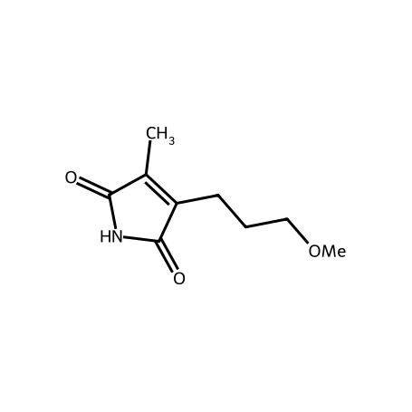 COCCCC1=C(C)C(=O)NC1=O